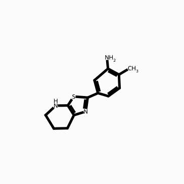 Cc1ccc(-c2nc3c(s2)NCCC3)cc1N